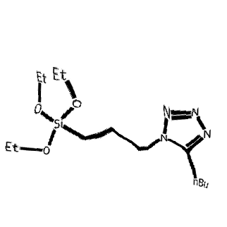 CCCCc1nnnn1CCC[Si](OCC)(OCC)OCC